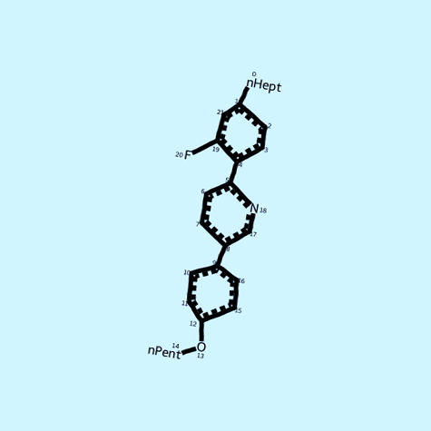 CCCCCCCc1ccc(-c2ccc(-c3ccc(OCCCCC)cc3)cn2)c(F)c1